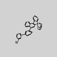 Brc1cccc(-c2cccc(-c3cc4c(c5ccccc35)-c3ccccc3C43C4CC5CC(C4)CC3C5)c2)c1